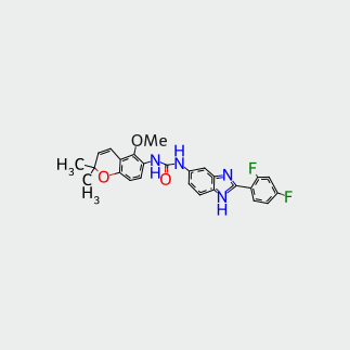 COc1c(NC(=O)Nc2ccc3[nH]c(-c4ccc(F)cc4F)nc3c2)ccc2c1C=CC(C)(C)O2